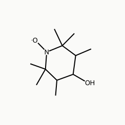 CC1C(O)C(C)C(C)(C)N([O])C1(C)C